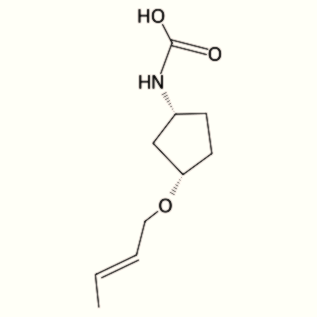 CC=CCO[C@H]1CC[C@@H](NC(=O)O)C1